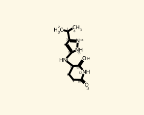 CC(C)c1cc(NC2CCC(=O)NC2=O)[nH]n1